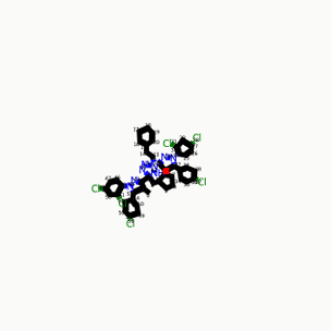 Cc1c(C2(CC3CCCC3)N=N[N+](CCc3ccccc3)(c3nn(-c4ccc(Cl)cc4Cl)c(-c4ccc(Cl)cc4)c3C)N2)nn(-c2ccc(Cl)cc2Cl)c1-c1ccc(Cl)cc1